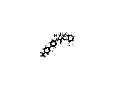 CC1CCCC(C)N1CC(C)(O)C(C)Oc1ccc(-c2ccc(C(F)(F)F)cc2)cc1